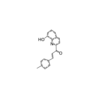 Cc1ccc(C=CC(=O)c2ccc3cccc(O)c3n2)cc1